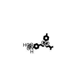 CC(C)=CCN(CCc1ccc(NS(=O)(=O)O)cc1)S(=O)(=O)c1ccc(C)cc1